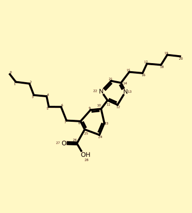 CCCCCCCCc1cc(-c2cnc(CCCCCC)cn2)ccc1C(=O)O